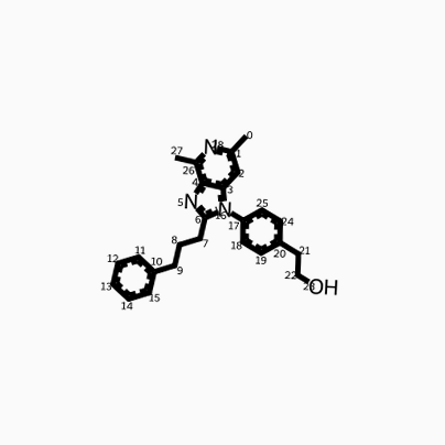 Cc1cc2c(nc(CCCc3ccccc3)n2-c2ccc(CCO)cc2)c(C)n1